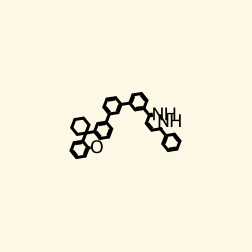 N=C(/C=C\C(=N)c1cccc(-c2cccc(-c3ccc4c(c3)C3(CCCCC3)c3ccccc3O4)c2)c1)c1ccccc1